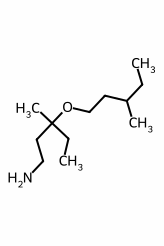 CCC(C)CCOC(C)(CC)CCN